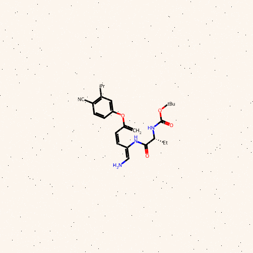 C=C(/C=C\C(=C/N)NC(=O)[C@@H](CC)NC(=O)OC(C)(C)C)Oc1ccc(C#N)c(C(C)C)c1